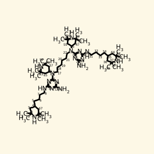 CC1(C)CC(CCCCNc2nc(N)nc(N(CCCCCCN(c3nc(N)nc(NCCCCC4CC(C)(C)NC(C)(C)C4)n3)C3CC(C)(C)NC(C)(C)C3)C3CC(C)(C)NC(C)(C)C3)n2)CC(C)(C)N1